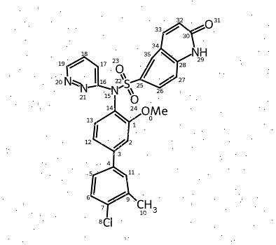 COc1cc(-c2ccc(Cl)c(C)c2)ccc1N(c1cccnn1)S(=O)(=O)c1ccc2[nH]c(=O)ccc2c1